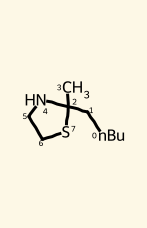 CCCCCC1(C)NCCS1